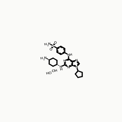 Cl.Cl.NS(=O)(=O)c1ccc(Nc2nc(N[C@H]3CC[C@H](N)CC3)nc3c2ncn3C2CCCC2)cc1